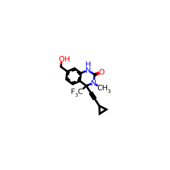 CN1C(=O)Nc2cc(CO)ccc2C1(C#CC1CC1)C(F)(F)F